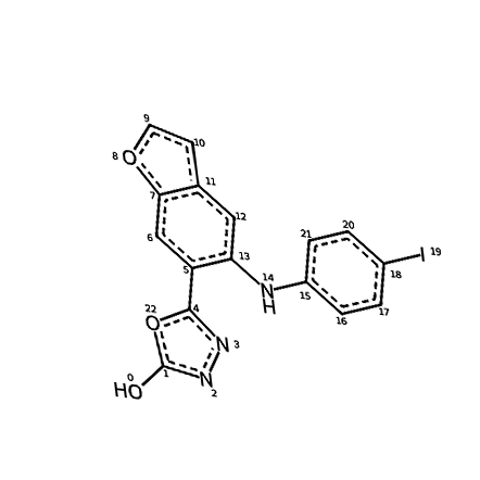 Oc1nnc(-c2cc3occc3cc2Nc2ccc(I)cc2)o1